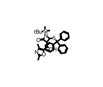 Cc1nc(C)c(C(O)C2C(=O)N([Si](C)(C)C(C)(C)C)C2SC(c2ccccc2)(c2ccccc2)c2ccccc2)o1